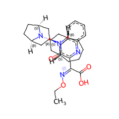 CCO/N=C(\C(=O)O)c1nc2ccccc2n([C@H]2C[C@H]3CC[C@@H](C2)N3[C@@H]2C[C@@H]3CCCC[C@@H](C3)C2)c1=O